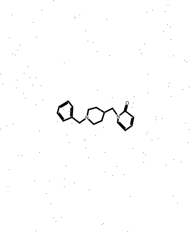 O=c1ccccn1CC1CCN(Cc2ccccc2)CC1